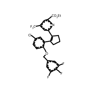 CCOC(=O)c1cc(C(F)(F)F)cc(C2=C(c3cc(Cl)ccc3OCc3cc(F)c(F)c(F)c3)CCC2)n1